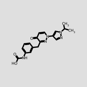 CC(C)n1cc(-n2ccc(=O)c(Cc3cccc(NC(=O)O)c3)n2)cn1